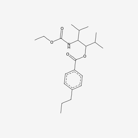 CCCc1ccc(C(=O)OC(C(C)C)C(NC(=O)OCC)C(C)C)cc1